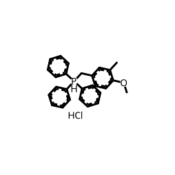 COc1ccc(C[PH](c2ccccc2)(c2ccccc2)c2ccccc2)cc1C.Cl